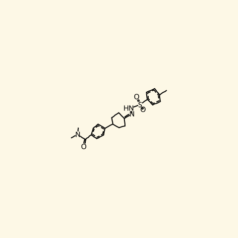 Cc1ccc(S(=O)(=O)NN=C2CCC(c3ccc(C(=O)N(C)C)cc3)CC2)cc1